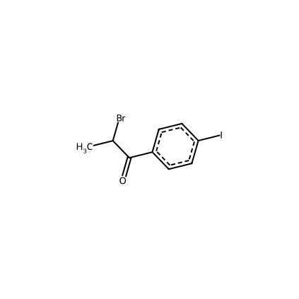 CC(Br)C(=O)c1ccc(I)cc1